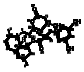 C[C@H]1C=C2C=C[C@H](C)[C@H](CC[C@@H]3C[C@@H](O)CC(=O)O3)[C@H]2[C@@H](OC(=O)C(C)(C)Cc2cc(O)cc(O)c2)C1